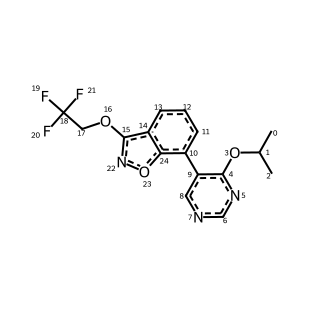 CC(C)Oc1ncncc1-c1cccc2c(OCC(F)(F)F)noc12